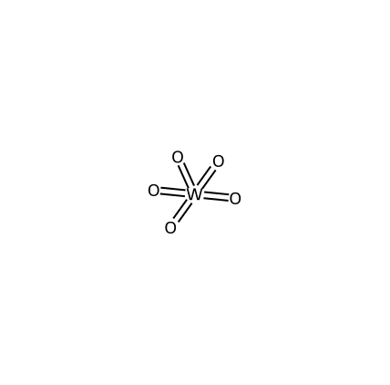 [O]=[W](=[O])(=[O])(=[O])=[O]